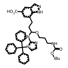 CC(C)(C)OC(=O)NCCCOC(CCc1cc(C(=O)O)cc2cn[nH]c12)Nc1nccn1C(c1ccccc1)(c1ccccc1)c1ccccc1